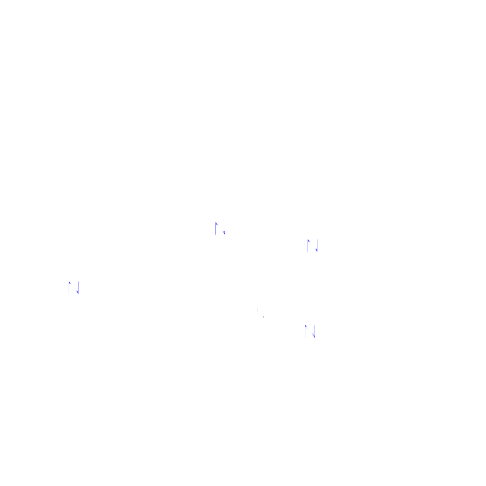 Cc1ccc2nsc(=Nc3ccncc3)n2c1